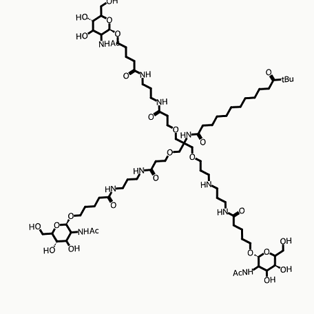 CC(=O)NC1C(O)[C@H](O)C(CO)O[C@H]1OCCCCC(=O)NCCCNCCCOCC(COCCC(=O)NCCCNC(=O)CCCCO[C@@H]1OC(CO)[C@@H](O)C(O)C1NC(C)=O)(COCCC(=O)NCCCNC(=O)CCCCO[C@@H]1OC(CO)[C@@H](O)C(O)C1NC(C)=O)NC(=O)CCCCCCCCCCC(=O)C(C)(C)C